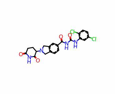 O=C1CCC(N2Cc3ccc(C(=O)NC(=O)Nc4cc(Cl)ccc4Cl)cc3C2)C(=O)N1